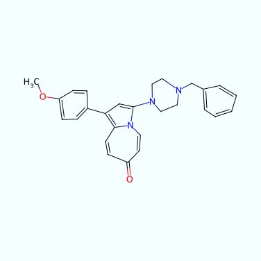 COc1ccc(-c2cc(N3CCN(Cc4ccccc4)CC3)n3ccc(=O)ccc23)cc1